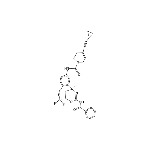 C[C@@]1(c2cc(NC(=O)N3CC=C(C#CC4CC4)CC3)ccc2F)C[C@@H](C(F)(F)F)OC(NC(=O)c2ccccc2)=N1